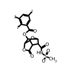 CS(=O)(=O)NC(=O)C1C2OC3C(OC(=O)C31)C2OC(=O)c1cc(I)cc(I)c1I